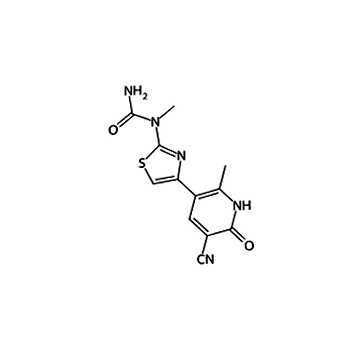 Cc1[nH]c(=O)c(C#N)cc1-c1csc(N(C)C(N)=O)n1